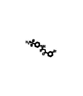 NS(=O)(=O)c1ccc(NC(=S)CC(=O)c2cccc(Br)c2)cc1